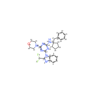 FC(F)c1nc2ccccc2n1-c1nc(NC2(Cc3ccccc3)CCCC2)nc(N2CCOCC2)n1